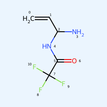 C=CC(N)NC(=O)C(F)(F)F